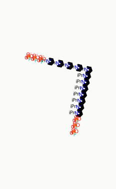 CC(C)[n+]1ccccc1.CC(C)[n+]1ccccc1.CC(C)[n+]1ccccc1.CC(C)[n+]1ccccc1.CC(C)[n+]1ccccc1.CC(C)[n+]1ccccc1.CC(C)[n+]1ccccc1.CC(C)[n+]1ccccc1.CC(C)[n+]1ccccc1.CC(C)[n+]1ccccc1.CC(C)[n+]1ccccc1.CC(C)[n+]1ccccc1.O=P([O-])([O-])F.O=P([O-])([O-])F.O=P([O-])([O-])F.O=P([O-])([O-])F.O=P([O-])([O-])F.O=P([O-])([O-])F